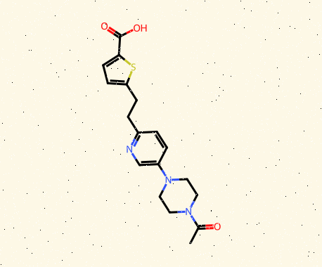 CC(=O)N1CCN(c2ccc(CCc3ccc(C(=O)O)s3)nc2)CC1